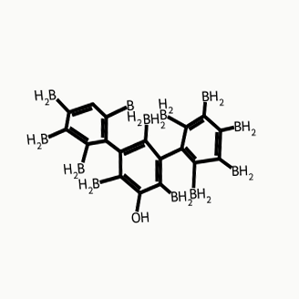 Bc1cc(B)c(-c2c(B)c(O)c(B)c(-c3c(B)c(B)c(B)c(B)c3B)c2B)c(B)c1B